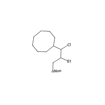 CCCCCCCCCCC(CC)C(Cl)C1CCCCCCC1